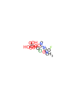 CN1C(=O)C2(CCN(CC(Cc3cc(OC(=O)CC(O)(CC(=O)O)C(=O)O)ccc3Cl)C(=O)N3CCCC3)CC2)c2cc(F)ccc21